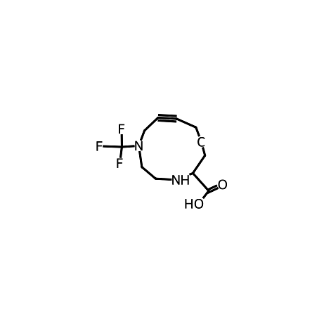 O=C(O)C1CCCC#CCN(C(F)(F)F)CCN1